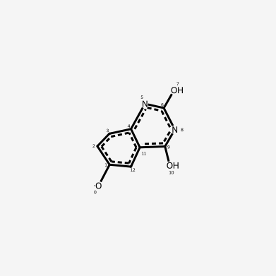 [O]c1ccc2nc(O)nc(O)c2c1